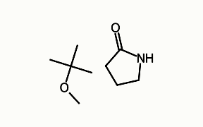 COC(C)(C)C.O=C1CCCN1